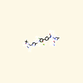 CNCC(=O)N1CC(C)CC1c1nc(-c2ccc(-c3cc(Cl)c(NC(=O)c4ccc(C5CN(C(=O)C(C)(C)C)CCN5)nc4)cc3OC(F)(F)F)cc2)c(CO)[nH]1